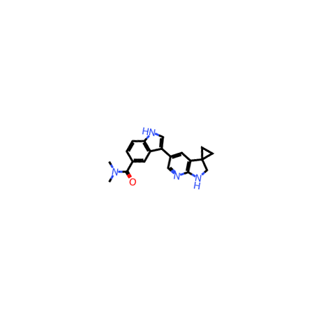 CN(C)C(=O)c1ccc2[nH]cc(-c3cnc4c(c3)C3(CC3)CN4)c2c1